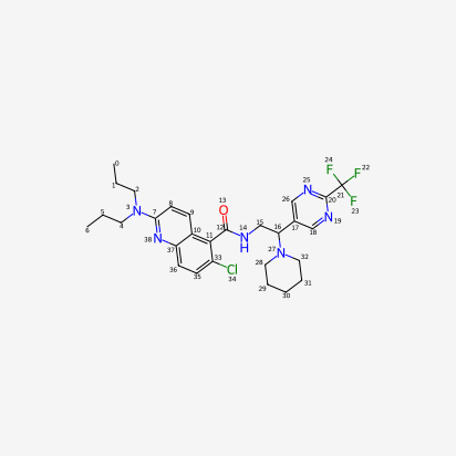 CCCN(CCC)c1ccc2c(C(=O)NCC(c3cnc(C(F)(F)F)nc3)N3CCCCC3)c(Cl)ccc2n1